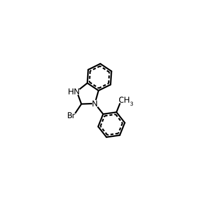 Cc1ccccc1N1c2ccccc2NC1Br